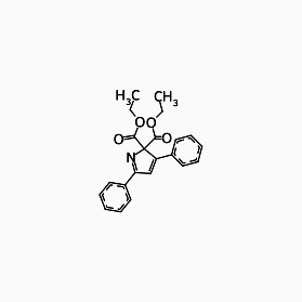 CCOC(=O)C1(C(=O)OCC)N=C(c2ccccc2)C=C1c1ccccc1